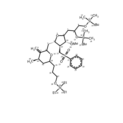 C=C1C(C[C@@H]2OC(CC(CO[Si](C)(C)C(C)(C)C)O[Si](C)(C)C(C)(C)C)[C@H](OC)[C@H]2CS(=O)(=O)c2ccccc2)OC(CCCO[Si](CC)(CC)CC)C[C@H]1C